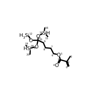 C=C(C)C(=O)OCCCCC(O[SiH3])(O[SiH](C)C)O[SiH](C)C